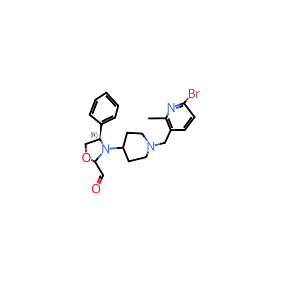 Cc1nc(Br)ccc1CN1CCC(N2C(C=O)OC[C@H]2c2ccccc2)CC1